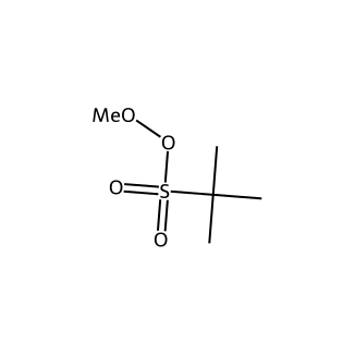 COOS(=O)(=O)C(C)(C)C